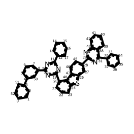 c1ccc(-c2cccc(-c3nc(-c4ccccc4)nc(-c4cccc5sc6cc(-c7nc(-c8ccccc8)c8ccccc8n7)ccc6c45)n3)c2)cc1